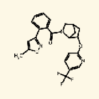 Cc1cc(-c2ccccc2C(=O)N2CC3CC(Oc4ccc(C(F)(F)F)cn4)C2C3)no1